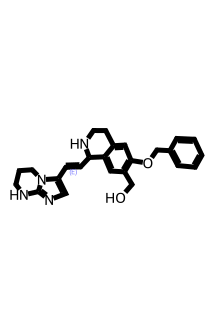 OCc1cc2c(cc1OCc1ccccc1)CCNC2/C=C/c1cnc2n1CCCN2